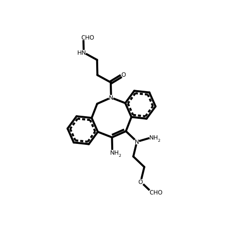 N/C1=C(\N(N)CCOC=O)c2ccccc2N(C(=O)CCNC=O)Cc2ccccc21